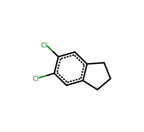 Clc1cc2c(cc1Cl)CCC2